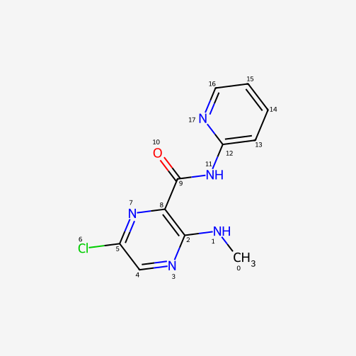 CNc1ncc(Cl)nc1C(=O)Nc1ccccn1